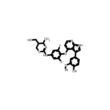 CC(C)Oc1cc(-c2c[nH]c3nccc(Oc4c(F)cc(NC5=NC(C)C(CO)CO5)cc4F)c23)ccc1C#N